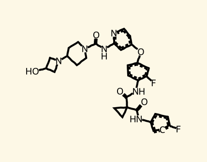 O=C(Nc1cc(Oc2ccc(NC(=O)C3(C(=O)Nc4ccc(F)cc4)CC3)c(F)c2)ccn1)N1CCC(N2CC(O)C2)CC1